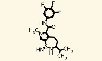 CC(C)C1CCc2c(cn(C)c2C(=O)Nc2cc(F)c(F)c(F)c2)S(=N)N1